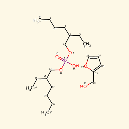 CCCCC(CC)COP(=O)(O)OCC(CC)CCCC.OCc1ccco1